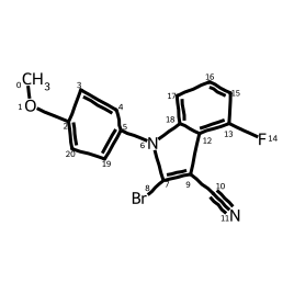 COc1ccc(-n2c(Br)c(C#N)c3c(F)cccc32)cc1